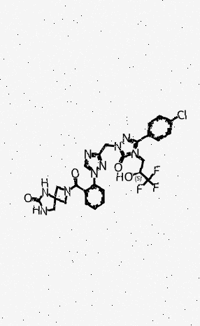 O=C1NCC2(CN(C(=O)c3ccccc3-n3cnc(Cn4nc(-c5ccc(Cl)cc5)n(C[C@H](O)C(F)(F)F)c4=O)n3)C2)N1